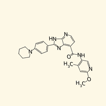 COc1cc(C)c(NC(=O)c2ccnc3[nH]c(-c4ccc(N5CCCCC5)cc4)nc23)cn1